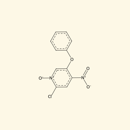 O=[N+]([O-])c1cc(Cl)[n+]([O-])cc1Oc1ccccc1